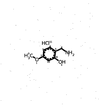 COc1ccc(CN)c(O)c1.Cl